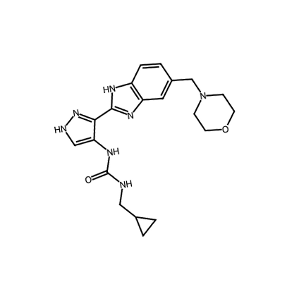 O=C(NCC1CC1)Nc1c[nH]nc1-c1nc2cc(CN3CCOCC3)ccc2[nH]1